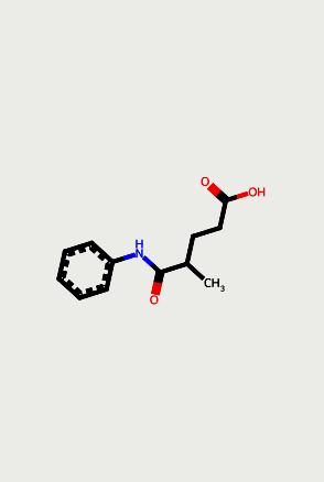 CC(CCC(=O)O)C(=O)Nc1ccccc1